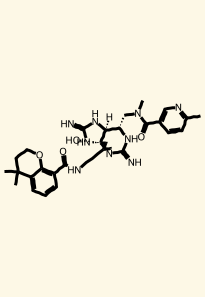 Cc1ccc(C(=O)N(C)C[C@@H]2NC(=N)N3CC(NC(=O)c4cccc5c4OCCC5(C)C)[C@@H](O)[C@@]34NC(=N)N[C@@H]24)cn1